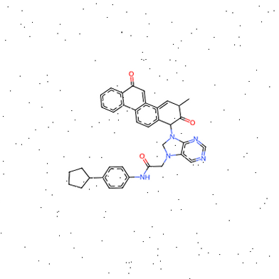 CC1C=c2c(ccc3c2=CC(=O)c2ccccc2-3)C(N2CN(CC(=O)Nc3ccc(C4CCCC4)cc3)c3cncnc32)C1=O